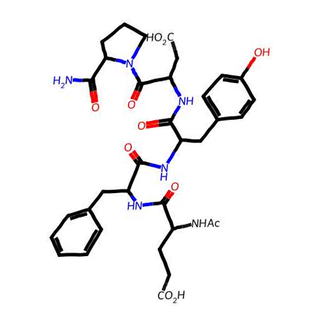 CC(=O)NC(CCC(=O)O)C(=O)NC(Cc1ccccc1)C(=O)NC(Cc1ccc(O)cc1)C(=O)NC(CC(=O)O)C(=O)N1CCCC1C(N)=O